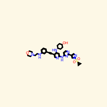 O=S(=O)(C1CC1)n1cc(-c2nccc(Nc3cc(N[C@H]4CC[C@@H](O)CC4)c(C#Cc4cccc(NCCN5CCOCC5)c4)cn3)n2)cn1